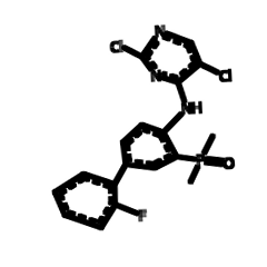 CP(C)(=O)c1cc(-c2ccccc2F)ccc1Nc1nc(Cl)ncc1Cl